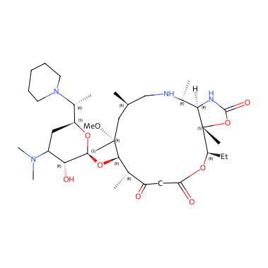 CC[C@H]1OC(=O)CC(=O)[C@H](C)[C@@H](O[C@@H]2O[C@H]([C@@H](C)N3CCCCC3)CC(N(C)C)[C@H]2O)[C@](C)(OC)C[C@@H](C)CN[C@H](C)[C@H]2NC(=O)O[C@@]21C